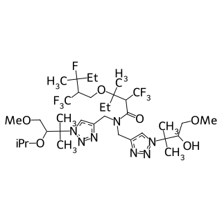 CCC(C)(F)C(COC(C)(CC)C(C(=O)N(Cc1cn(C(C)(C)C(O)COC)nn1)Cc1cn(C(C)(C)C(COC)OC(C)C)nn1)C(F)(F)F)C(F)(F)F